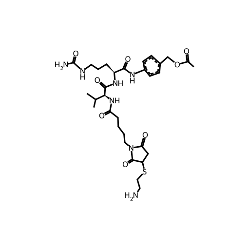 CC(=O)OCc1ccc(NC(=O)[C@H](CCCNC(N)=O)NC(=O)[C@@H](NC(=O)CCCCN2C(=O)CC(SCCN)C2=O)C(C)C)cc1